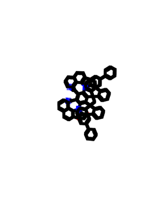 N#Cc1c(C#N)c(-n2c3ccc(-c4ccccc4)cc3c3ccc4ccccc4c32)c2c(c1-n1c3ccc(-c4ccccc4)cc3c3ccc4ccccc4c31)C1(CC23c2ccccc2-c2ccccc23)c2ccccc2-c2ccccc21